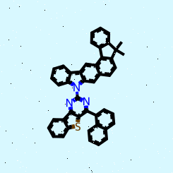 CC1(C)c2ccccc2-c2c1ccc1cc3c(cc21)c1ccccc1n3-c1nc(-c2cccc3ccccc23)c2sc3ccccc3c2n1